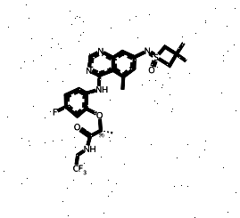 Cc1cc(N=S2(=O)CC(C)(C)C2)cc2ncnc(Nc3ccc(F)cc3O[C@H](C)C(=O)NCC(F)(F)F)c12